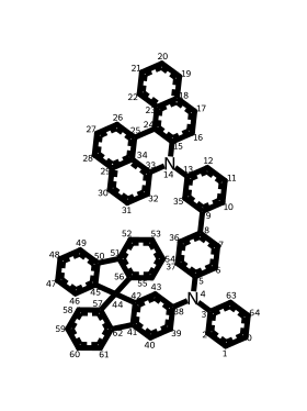 c1ccc(N(c2ccc(-c3cccc(N4c5ccc6ccccc6c5-c5cccc6cccc4c56)c3)cc2)c2ccc3c(c2)C2(c4ccccc4-c4ccccc42)c2ccccc2-3)cc1